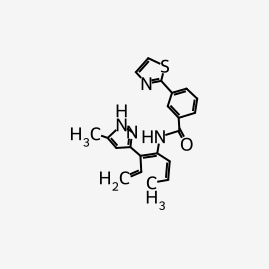 C=C/C(=C(\C=C/C)NC(=O)c1cccc(-c2nccs2)c1)c1cc(C)[nH]n1